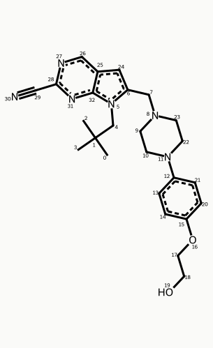 CC(C)(C)Cn1c(CN2CCN(c3ccc(OCCO)cc3)CC2)cc2cnc(C#N)nc21